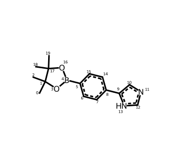 CC1(C)OB(c2ccc(-c3cnc[nH]3)cc2)OC1(C)C